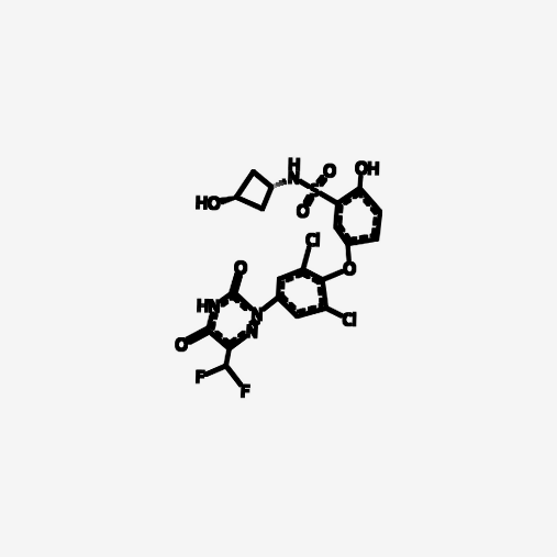 O=c1[nH]c(=O)n(-c2cc(Cl)c(Oc3ccc(O)c(S(=O)(=O)N[C@H]4C[C@H](O)C4)c3)c(Cl)c2)nc1C(F)F